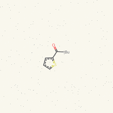 CC(C)(C)C(=O)c1cccs1